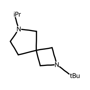 CC(C)N1CCC2(C1)CN(C(C)(C)C)C2